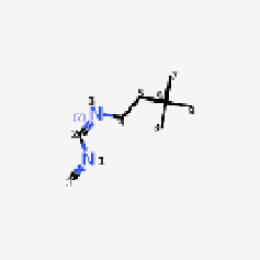 C=N/C=N\CCC(C)(C)C